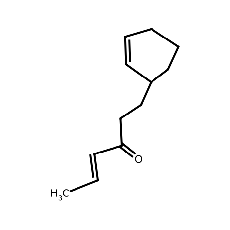 CC=CC(=O)CCC1C=CCCC1